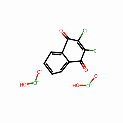 O=C1C(Cl)=C(Cl)C(=O)c2ccccc21.[O-][Cl+]O.[O-][Cl+]O